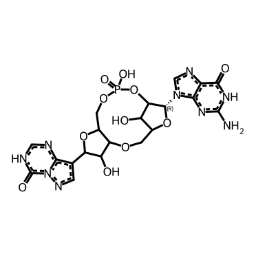 Nc1nc2c(ncn2[C@@H]2OC3COC4C(COP(=O)(O)OC2C3O)OC(c2cnn3c(=O)[nH]cnc23)C4O)c(=O)[nH]1